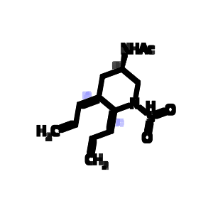 C=C/C=C1/C[C@@H](NC(C)=O)CN([SH](=O)=O)/C1=C/C=C